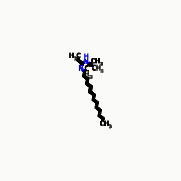 CCCCCCCCCCCCCC/N=C(/CC)NC(C)(C)C